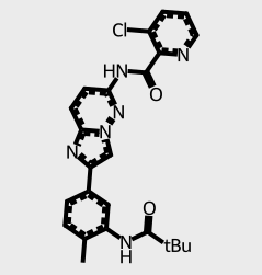 Cc1ccc(-c2cn3nc(NC(=O)c4ncccc4Cl)ccc3n2)cc1NC(=O)C(C)(C)C